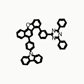 c1ccc(-c2nc(-c3ccccc3)nc(-c3cccc(-c4cccc5oc6c7ccccc7c(-c7ccc(-n8c9ccccc9c9ccccc98)cc7)cc6c45)c3)n2)cc1